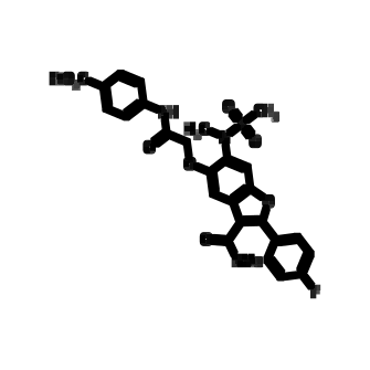 CCOC(=O)c1ccc(NC(=O)COc2cc3c(C(=O)NC)c(-c4ccc(F)cc4)oc3cc2N(C)S(C)(=O)=O)cc1